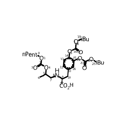 CCCCCOC(=O)OC(C)CN[C@@H](Cc1ccc(OC(=O)OC(C)CC)c(OC(=O)OC(C)CC)c1)C(=O)O